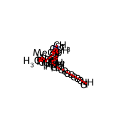 CC/C(C)=C\N1C[C@H](O)N(C(=O)OCc2ccc(NC(=O)[C@H](C)NC(=O)[C@@H](NC(=O)CCOCCOCCOCCOCCOCCOCCOCCOCCNC(=O)CI)C(C)C)cc2)c2cc(OCCCCCOc3cc4c(cc3OC)C(=O)N3C=C(C)C[C@H]3C=N4)c(OC)cc2C1=O